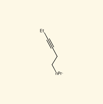 CCC#CCC[CH]CC